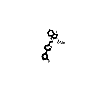 COC[C@H]1C[C@H]2CCCC[C@H]2[C@@H]1C=Cc1ccc(-c2cccc(F)c2)cn1